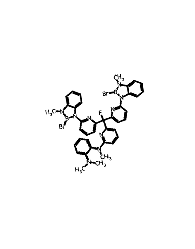 CN(C)c1ccccc1N(C)c1cccc(C(F)(c2cccc(N3B(Br)N(C)c4ccccc43)n2)c2cccc(N3B(Br)N(C)c4ccccc43)n2)n1